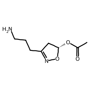 CC(=O)O[C@H]1CC(CCCN)=NO1